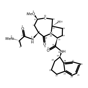 CN[C@@H](C)C(=O)N[C@H]1C[C@@H](OC)CC[C@H]2CC[C@@H](C(=O)N[C@@H]3CCCc4ccccc43)N2C1=O